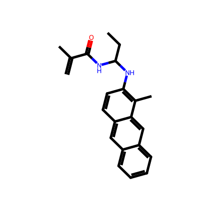 C=C(C)C(=O)NC(CC)Nc1ccc2cc3ccccc3cc2c1C